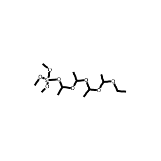 CCOC(C)OC(C)OC(C)OC(C)O[Si](OC)(OC)OC